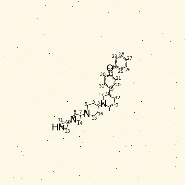 C1=CN(C2CCN(C3CN(C4CNC4)C3)CC2)CC(c2ccc(Oc3ccccc3)cc2)=C1